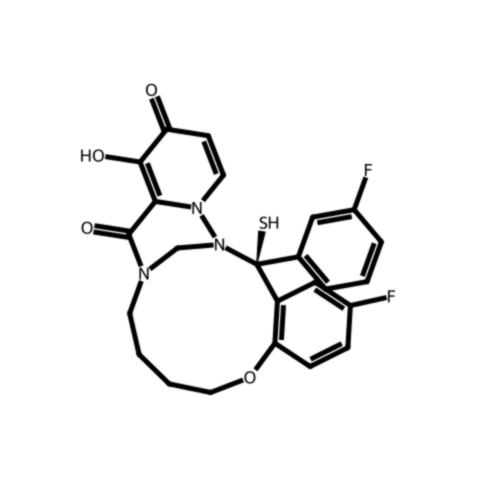 O=C1c2c(O)c(=O)ccn2N2CN1CCCCOc1ccc(F)cc1[C@@]2(S)c1cccc(F)c1